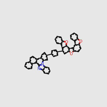 c1ccc2c(c1)ccc1c3ccc(-c4ccc(-c5cc6oc7ccc8oc9ccccc9c8c7c6c6oc7ccccc7c56)cc4)cc3n3c4ccccc4nc3c21